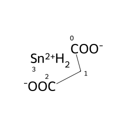 O=C([O-])CC(=O)[O-].[SnH2+2]